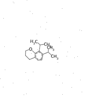 CC(C)c1ccc2c(c1C(C)C)OCCC2